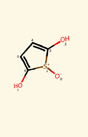 [O-][s+]1c(O)ccc1O